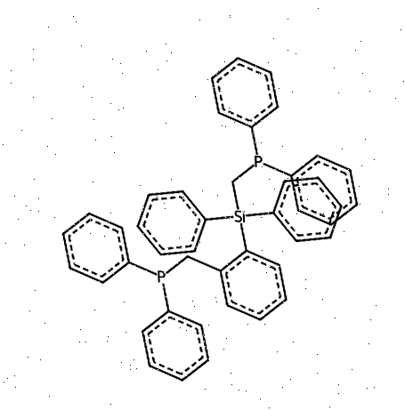 c1ccc(P(Cc2ccccc2[Si](CP(c2ccccc2)c2ccccc2)(c2ccccc2)c2ccccc2)c2ccccc2)cc1